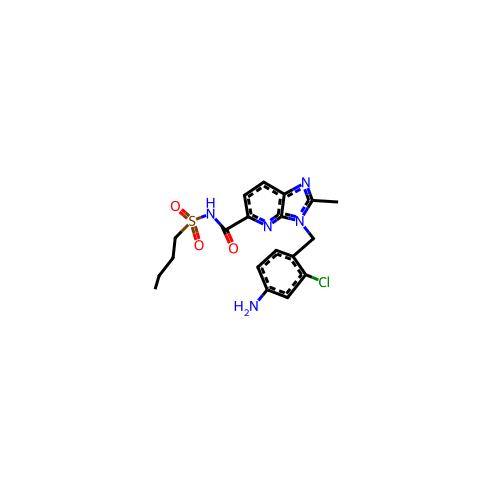 CCCCS(=O)(=O)NC(=O)c1ccc2nc(C)n(Cc3ccc(N)cc3Cl)c2n1